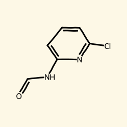 O=CNc1cccc(Cl)n1